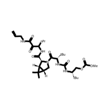 C=CCNC(=O)C(=O)C(CCC)NC(=O)[C@@H]1[C@@H]2[C@H](CN1C(=O)[C@@H](NC(=O)N[C@H](COC(=O)OC)C(C)(C)C)C(C)(C)C)C2(C)C